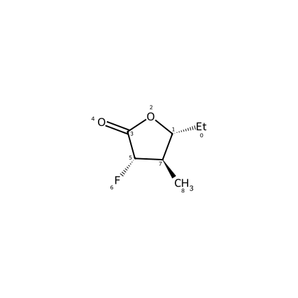 CC[C@H]1OC(=O)[C@@H](F)[C@@H]1C